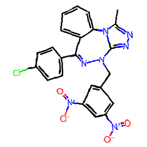 Cc1nnc2n1-c1ccccc1C(c1ccc(Cl)cc1)=NN2Cc1cc([N+](=O)[O-])cc([N+](=O)[O-])c1